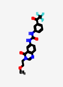 COCCn1cnc2ccc(NC(=O)Nc3cccc(C(=O)C(F)(F)F)c3)cc2c1=O